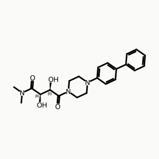 CN(C)C(=O)[C@H](O)[C@@H](O)C(=O)N1CCN(c2ccc(-c3ccccc3)cc2)CC1